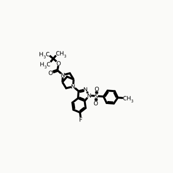 Cc1ccc(S(=O)(=O)n2nc(N3CC4CC3CN4C(=O)OC(C)(C)C)c3ccc(F)cc32)cc1